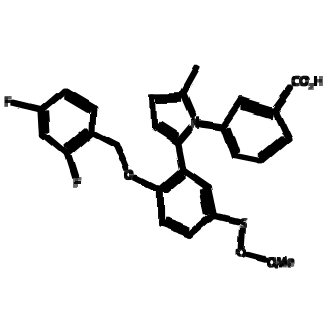 COOSc1ccc(OCc2ccc(F)cc2F)c(-c2ccc(C)n2-c2cccc(C(=O)O)c2)c1